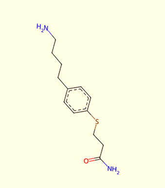 NCCCCc1ccc(SCCC(N)=O)cc1